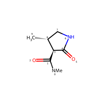 CNC(=O)[C@@H]1C(=O)NC[C@H]1C